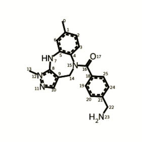 Cc1ccc2c(c1)Nc1c(cnn1C)CN2C(=O)c1ccc(CN)cc1